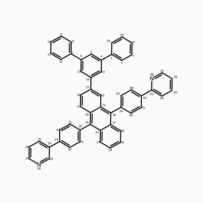 c1ccc(-c2cc(-c3ccccc3)cc(-c3ccc4c(-c5ccc(-c6cccnc6)cc5)c5ccccc5c(-c5ccc(-c6ccccn6)cc5)c4c3)c2)cc1